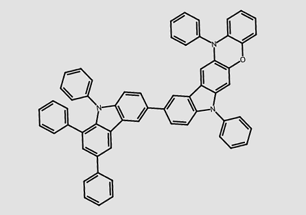 c1ccc(-c2cc(-c3ccccc3)c3c(c2)c2cc(-c4ccc5c(c4)c4cc6c(cc4n5-c4ccccc4)Oc4ccccc4N6c4ccccc4)ccc2n3-c2ccccc2)cc1